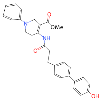 COC(=O)C1=C(NC(=O)CCc2ccc(-c3ccc(O)cc3)cc2)CCN(c2ccccc2)C1